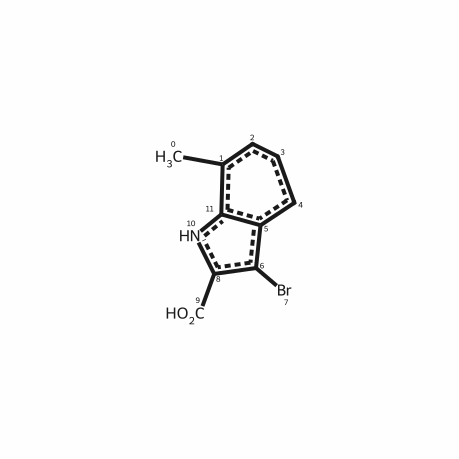 Cc1cccc2c(Br)c(C(=O)O)[nH]c12